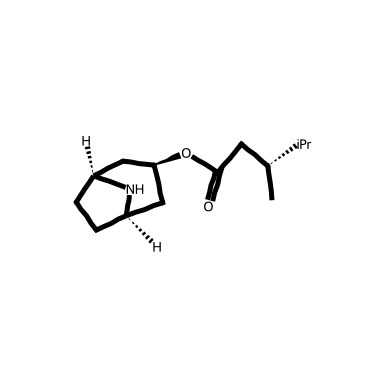 CC(C)[C@H](C)CC(=O)O[C@H]1C[C@H]2CC[C@@H](C1)N2